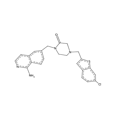 Nc1nccc2cc(CN3CCN(Cc4cc5ccc(Cl)cc5s4)CC3=O)ccc12